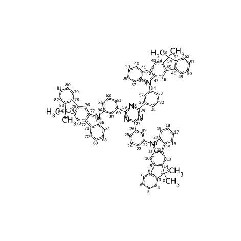 CC1(C)c2ccccc2-c2cc3c(cc21)c1ccccc1n3-c1cccc(-c2nc(-c3cccc(-n4c5ccccc5c5cc6c(cc54)-c4ccccc4C6(C)C)c3)nc(-c3cccc(-n4c5ccccc5c5cc6c(cc54)-c4ccccc4C6(C)C)c3)n2)c1